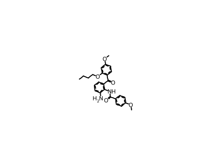 CCCCOc1cc(OC)ccc1C(=O)c1cccc(N)c1NC(=O)c1ccc(OC)cc1